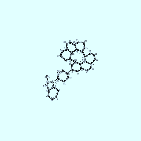 CCc1nc2ccccc2n1-c1ccc(-c2cc3ccc4cccc5c6cccc7ccc8cccc(c(c2)c3c45)c8c76)cn1